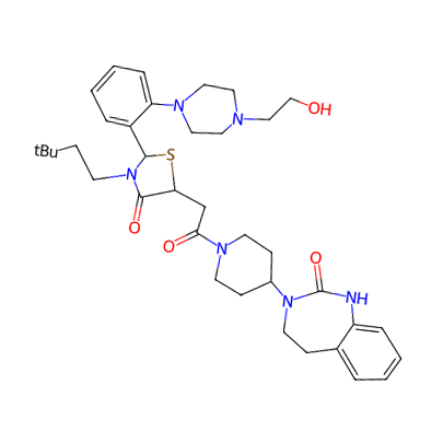 CC(C)(C)CCN1C(=O)C(CC(=O)N2CCC(N3CCc4ccccc4NC3=O)CC2)SC1c1ccccc1N1CCN(CCO)CC1